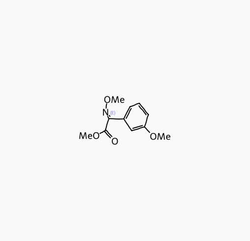 CO/N=C(/C(=O)OC)c1cccc(OC)c1